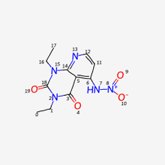 CCn1c(=O)c2c(N[N+](=O)[O-])ccnc2n(CC)c1=O